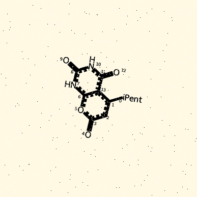 CCCC(C)c1cc(=O)oc2[nH]c(=O)[nH]c(=O)c12